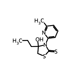 CCCC1(O)CSC(=S)N1c1cccc(C)n1